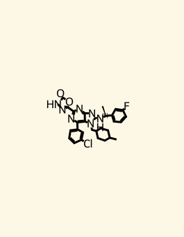 CC1CCC(Cn2c(N[C@@H](C)c3cccc(F)c3)nc3nc(-c4n[nH]c(=O)o4)nc(-c4cccc(Cl)c4)c32)CC1